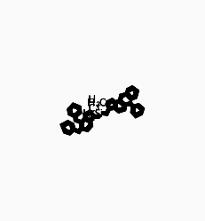 CC1=Cc2c(ccc(Cc3ccccc3)c2Cc2ccccc2)C1C[SiH2]CC1C(C)=Cc2c1ccc(Cc1ccccc1)c2Cc1ccccc1